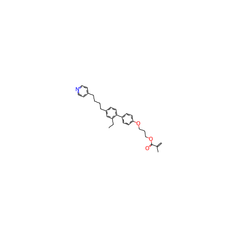 C=C(C)C(=O)OCCCOc1ccc(-c2ccc(CCCCc3ccncc3)cc2CC)cc1